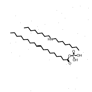 CCCCCCCCC=CCCCCCCCC(=O)OP(=O)(O)O.CCCCCCCCNCCCCCCCC